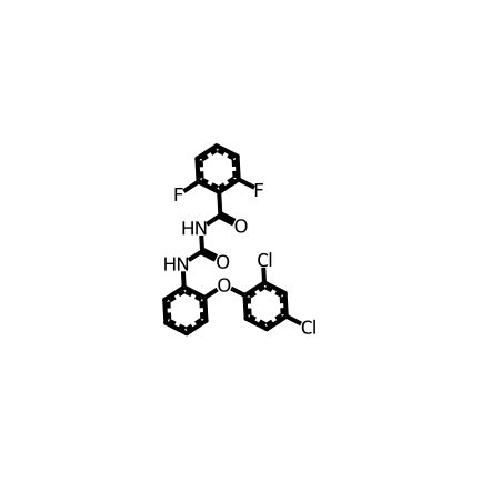 O=C(NC(=O)c1c(F)cccc1F)Nc1ccccc1Oc1ccc(Cl)cc1Cl